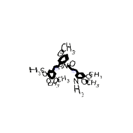 COc1ccc(NC(=O)/C=C/c2cc(N)c(OC)c(OC)c2)c(/C=C/c2cc(OC)c(OC)c(OC)c2)c1